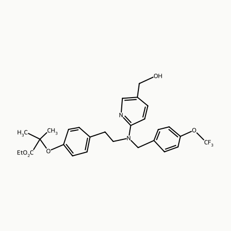 CCOC(=O)C(C)(C)Oc1ccc(CCN(Cc2ccc(OC(F)(F)F)cc2)c2ccc(CO)cn2)cc1